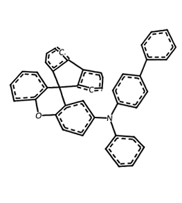 c1ccc(-c2ccc(N(c3ccccc3)c3ccc4c(c3)C3(c5ccccc5O4)c4ccccc4-c4ccccc43)cc2)cc1